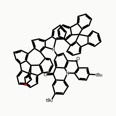 CC(C)(C)c1ccc2c(c1)c(=O)c1cc(-n3c4c(-c5cccc6c5C5(c7ccccc7-c7ccccc75)c5ccccc5-6)cccc4c4ccc5c(c43)-c3cccc4c3C3(c6ccccc6-c6cccc-5c63)c3ccccc3-4)cc3c(=O)c4cc(C(C)(C)C)ccc4n2c13